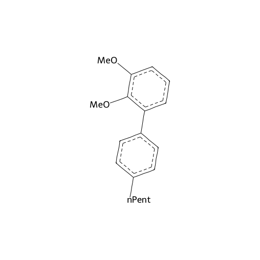 CCCCCc1ccc(-c2cccc(OC)c2OC)cc1